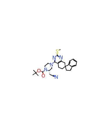 CSc1nc2c(c(N3CCN(C(=O)OC(C)(C)C)[C@@H](CC#N)C3)n1)CCC1(CCc3ccccc31)C2